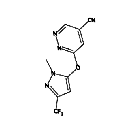 Cn1nc(C(F)(F)F)cc1Oc1cc(C#N)cnn1